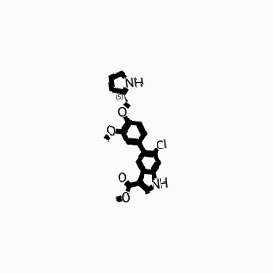 COC(=O)c1c[nH]c2cc(Cl)c(-c3ccc(OC[C@@H]4CCCN4)c(OC)c3)cc12